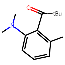 Cc1cccc(N(C)C)c1C(=O)C(C)(C)C